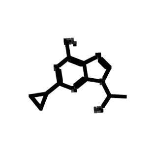 CC(S)n1cnc2c(N)nc(C3CC3)nc21